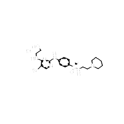 CC[C@H](CO)Nc1nc(Nc2ccc(S(=O)(=O)NCCN3CCCCC3)cc2)ncc1Br